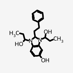 CCC(O)N1c2ccc(O)cc2N(C(O)CC)C1CCc1ccccc1